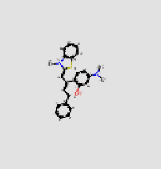 CCN(CC)c1ccc(C(=C\Cc2ccccc2)/C=C2\Sc3ccccc3N2CC)c(O)c1